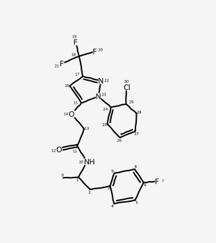 CC(Cc1ccc(F)cc1)NC(=O)COc1cc(C(F)(F)F)nn1C1=CC=CCC1Cl